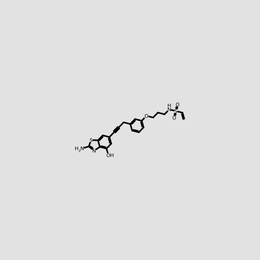 C=CS(=O)(=O)NCCCOc1cccc(CC#Cc2cc(O)c3nc(N)sc3c2)c1